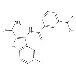 CC(O)c1cccc(C(=O)Nc2c(C(N)=O)oc3ccc(F)cc23)c1